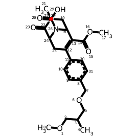 COCC(C)COCc1ccc(C2=C(C(=O)OC)C3CN(C)C(=O)C(C2)N3C(=O)O)cc1